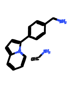 NC=O.NCc1ccc(-c2ccc3ccccn23)cc1